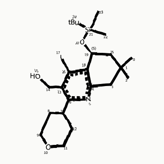 CC1(C)Cc2nc(C3CCOCC3)c(CO)c(I)c2[C@@H](O[Si](C)(C)C(C)(C)C)C1